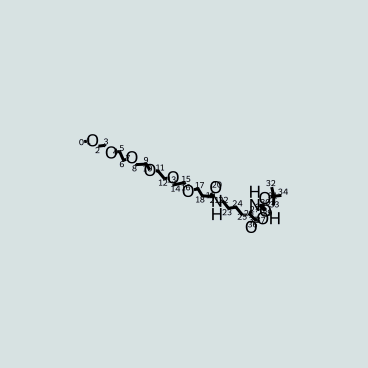 COCCOCCOCCOCCOCCOCCC(=O)NCCCC[C@H](NC(=O)OC(C)(C)C)C(=O)O